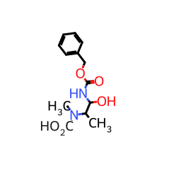 CC(C(O)NC(=O)OCc1ccccc1)N(C)C(=O)O